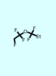 CCC(F)(F)OC(F)(F)CF